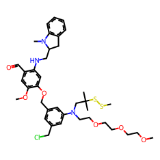 COCCOCCOCCN(CC(C)(C)SSC)c1cc(CCl)cc(COc2cc(NCC3Cc4ccccc4N3C)c(C=O)cc2OC)c1